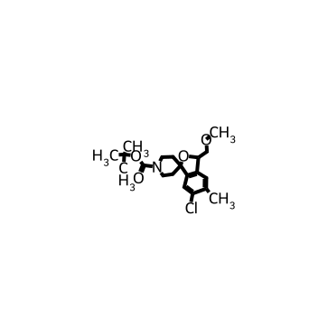 COCC1OC2(CCN(C(=O)OC(C)(C)C)CC2)c2cc(Cl)c(C)cc21